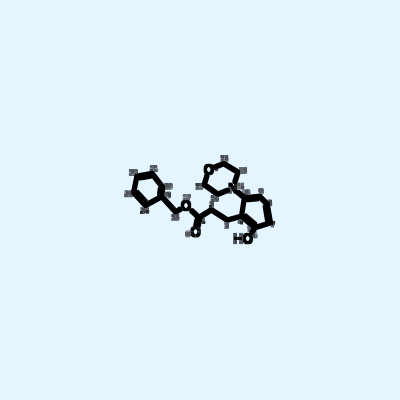 O=C(CCc1c(O)cccc1N1CCOCC1)OCc1ccccc1